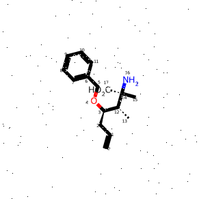 C=CC[C@@H](OCc1ccccc1)[C@@H](C)[C@](C)(N)C(=O)O